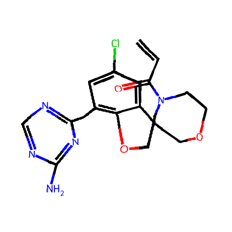 C=CC(=O)N1CCOCC12COc1c(-c3ncnc(N)n3)cc(Cl)cc12